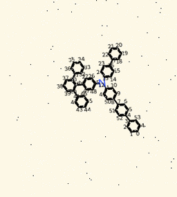 c1ccc(-c2ccc(-c3ccc(N(c4ccc(-c5ccccc5)cc4)c4ccc(-c5c(-c6ccccc6)cccc5-c5ccccc5)cc4)cc3)cc2)cc1